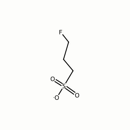 [O]S(=O)(=O)CCCF